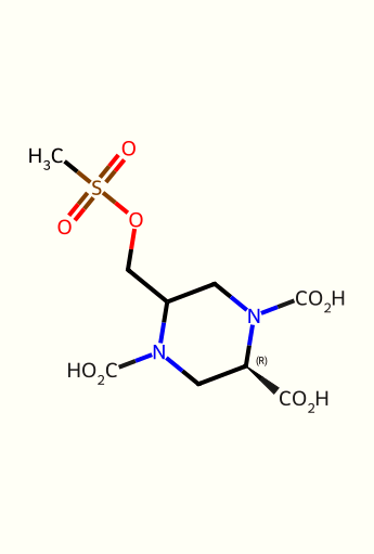 CS(=O)(=O)OCC1CN(C(=O)O)[C@@H](C(=O)O)CN1C(=O)O